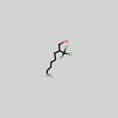 CCCCCCC(CO)C(Cl)(Cl)Cl